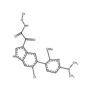 CCONC(=O)C(=O)c1c[nH]c2cc(Cl)c(-c3ccc(N(C)C)nc3OC)cc12